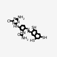 NC(=O)Nc1cc(Nc2nc(N)nc(Cl)n2)ccc1/N=N/c1cc2c(S)cc(S)cc2cc1S